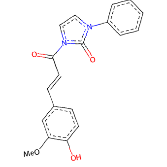 COc1cc(C=CC(=O)n2ccn(-c3ccccc3)c2=O)ccc1O